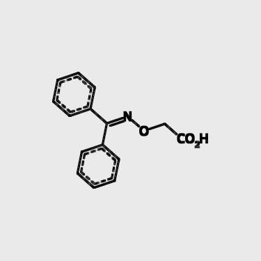 O=C(O)CON=C(c1ccccc1)c1ccccc1